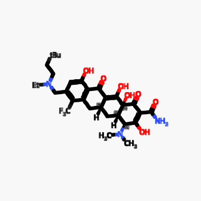 CCN(CCC(C)(C)C)Cc1cc(O)c2c(c1C(F)(F)F)C[C@H]1C[C@H]3[C@H](N(C)C)C(O)=C(C(N)=O)C(=O)[C@@]3(O)C(O)=C1C2=O